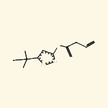 C=CCC(=O)Nc1cc(C(C)(C)C)[nH]n1